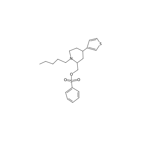 CCCCCN1CCC(c2ccsc2)CC1COS(=O)(=O)c1ccccc1